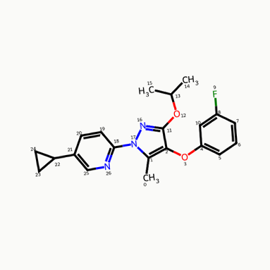 Cc1c(Oc2cccc(F)c2)c(OC(C)C)nn1-c1ccc(C2CC2)cn1